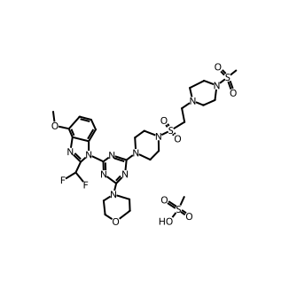 COc1cccc2c1nc(C(F)F)n2-c1nc(N2CCOCC2)nc(N2CCN(S(=O)(=O)CCN3CCN(S(C)(=O)=O)CC3)CC2)n1.CS(=O)(=O)O